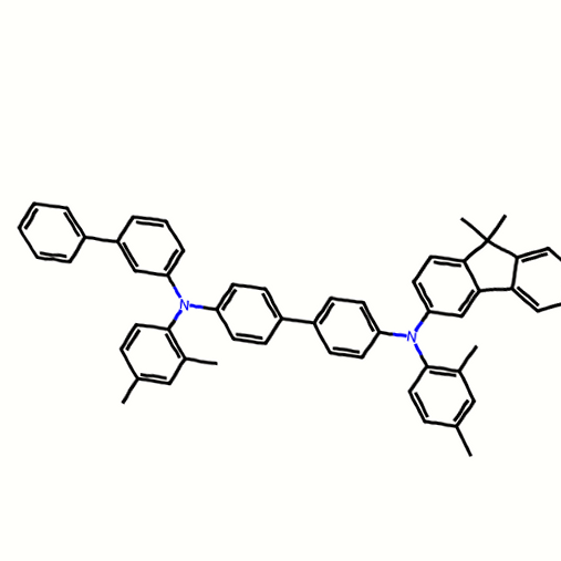 Cc1ccc(N(c2ccc(-c3ccc(N(c4ccc5c(c4)-c4ccccc4C5(C)C)c4ccc(C)cc4C)cc3)cc2)c2cccc(-c3ccccc3)c2)c(C)c1